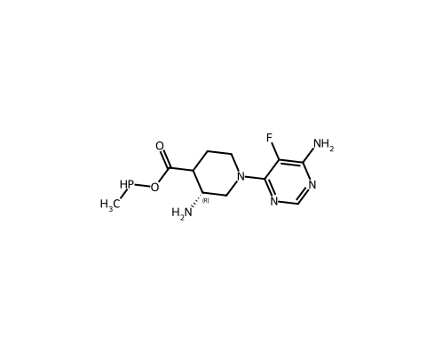 CPOC(=O)C1CCN(c2ncnc(N)c2F)C[C@@H]1N